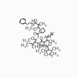 CC[C@H](C)[C@@H]([C@@H](CC(=O)N1CCCC1[C@H](OC)[C@@H](C)C(=O)NCCc1ccccc1)OC)N(C)C(=O)[C@@H](NC(=O)C(C(C)C)N(C)C)[C@H](C)N=[N+]=[N-]